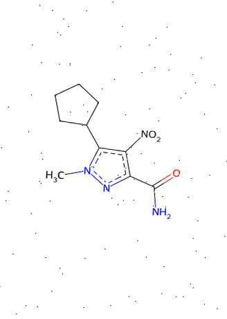 Cn1nc(C(N)=O)c([N+](=O)[O-])c1C1CCCC1